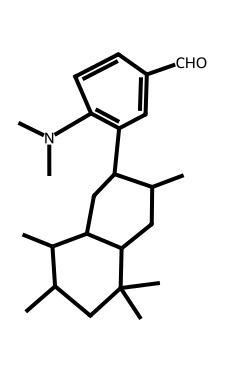 CC1CC2C(CC1c1cc(C=O)ccc1N(C)C)C(C)C(C)CC2(C)C